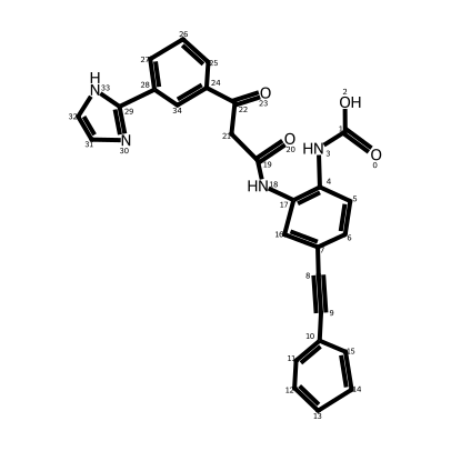 O=C(O)Nc1ccc(C#Cc2ccccc2)cc1NC(=O)CC(=O)c1cccc(-c2ncc[nH]2)c1